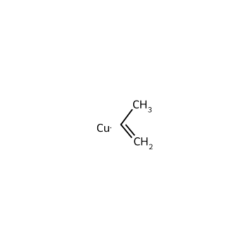 C=CC.[Cu]